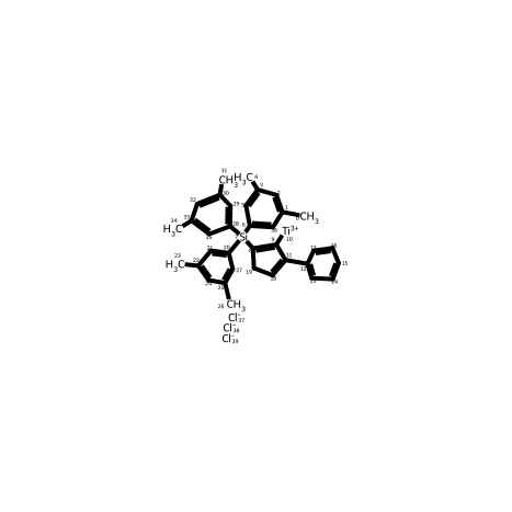 Cc1cc(C)cc([Si](C2=[C]([Ti+3])C(c3ccccc3)=CC2)(c2cc(C)cc(C)c2)c2cc(C)cc(C)c2)c1.[Cl-].[Cl-].[Cl-]